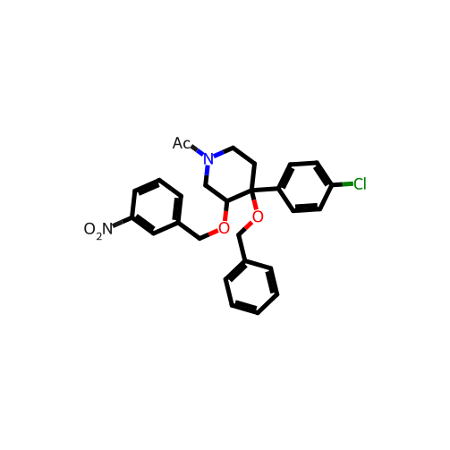 CC(=O)N1CCC(OCc2ccccc2)(c2ccc(Cl)cc2)C(OCc2cccc([N+](=O)[O-])c2)C1